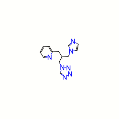 c1ccc(C[C](Cn2ccnc2)Cn2cnnn2)nc1